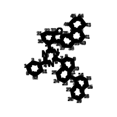 c1ccc(-c2nc(-c3cccc4c(-c5cccc6ccccc56)cccc34)nc(-c3cccc4oc5c(ccc6ccc7ccccc7c65)c34)n2)cc1